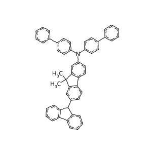 CC1(C)c2cc(C3c4ccccc4-c4ccccc43)ccc2-c2ccc(N(c3ccc(-c4ccccc4)cc3)c3ccc(-c4ccccc4)cc3)cc21